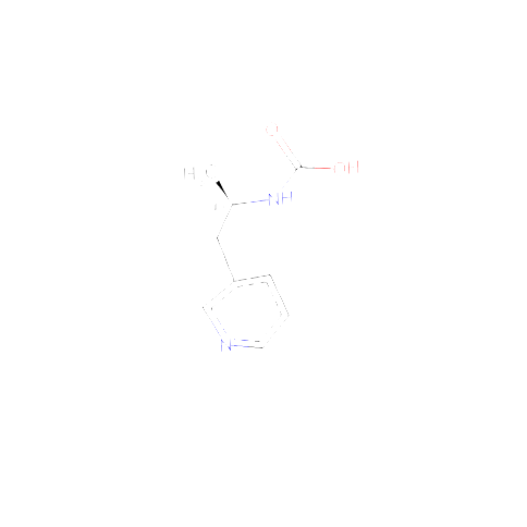 C[C@H](Cc1cccnc1)NC(=O)O